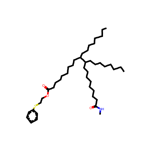 CCCCCCCCC(CCCCCCCCC(=O)NC)C(CCCCCCCC)CCCCCCCCC(=O)OCCSc1ccccc1